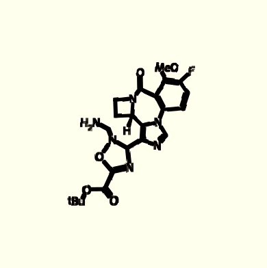 COc1c(F)ccc2c1C(=O)N1CC[C@H]1c1c(C3N=C(C(=O)OC(C)(C)C)ON3CN)ncn1-2